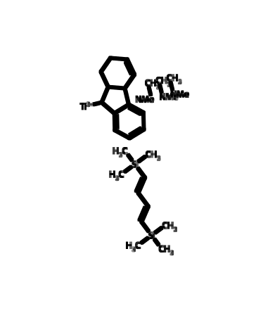 C[N-]C.C[N-]C.C[N-]C.C[Si](C)(C)C=CC=C[Si](C)(C)C.[Ti+3][CH]1c2ccccc2C2C=CCCC12